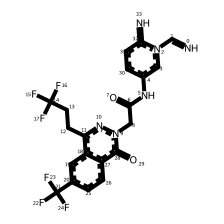 N=Cn1cc(NC(=O)Cn2nc(CCC(F)(F)F)c3cc(C(F)(F)F)ccc3c2=O)ccc1=N